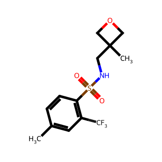 Cc1ccc(S(=O)(=O)NCC2(C)COC2)c(C(F)(F)F)c1